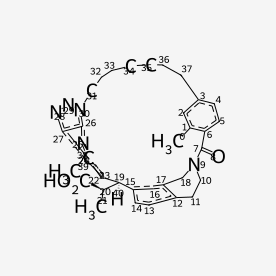 Cc1cc2ccc1C(=O)N1CCc3ccc(cc3C1)[C@@H]([C@@H](C)C(=O)O)c1cnc3c(nnn3CCCCCCC2)c1C